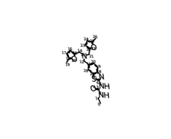 CCNC(=O)Nc1nc2ccc(CN(Cc3ccc(C)o3)Cc3ccc(C)o3)cc2s1